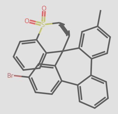 Cc1ccc2c(c1)C1(c3cc(Br)ccc3-c3ccccc3-2)c2ccccc2S(=O)(=O)c2ccccc21